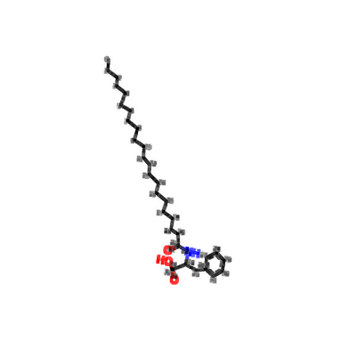 CCCCCCCCCCCCCCCCCCCCCC(=O)NC(Cc1ccccc1)C(=O)O